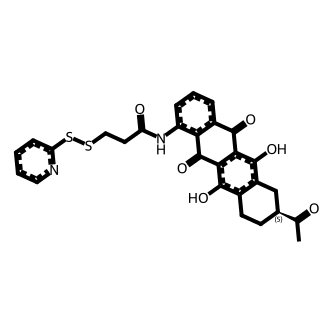 CC(=O)[C@H]1CCc2c(O)c3c(c(O)c2C1)C(=O)c1cccc(NC(=O)CCSSc2ccccn2)c1C3=O